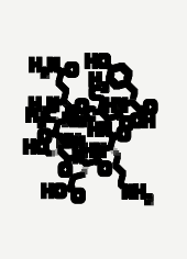 CC[C@H](C)[C@H](NC(=O)[C@H](CCCCN)NC(=O)[C@H](CCC(=O)O)NC(=O)[C@H](CO)NC(=O)[C@H](C)NC(=O)[C@@H](N)CCC(N)=O)C(=O)N[C@@H](Cc1ccc(O)cc1)C(=O)O